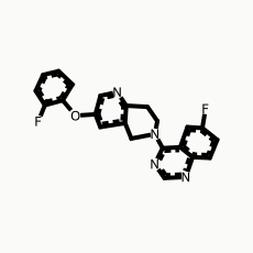 Fc1ccc2ncnc(N3CCc4ncc(Oc5ccccc5F)cc4C3)c2c1